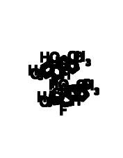 C[C@]12C=CC(=O)C=C1[C@@H](F)C[C@@H]1[C@@H]2[C@@H](O)C[C@]2(C)C(=O)CC[C@@H]12.C[C@]12CCC(=O)C=C1[C@@H](F)C[C@@H]1[C@@H]2[C@@H](O)C[C@]2(C)C(=O)CC[C@@H]12